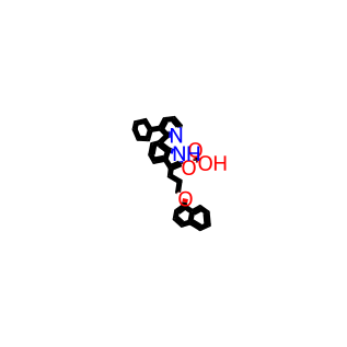 O=C(O)Oc1[nH]c2c(-c3ncccc3C3CCCCC3)cccc2c1CCCOc1cccc2ccccc12